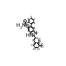 NS(=O)(=O)c1ccccc1-c1ccc2[nH]c(/C=C/c3cccc(F)c3F)nc2c1